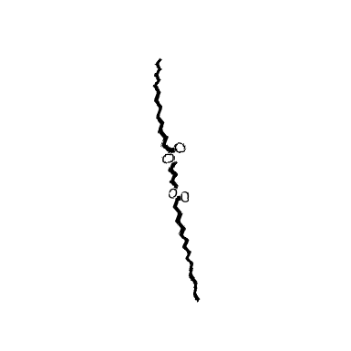 CCCCCCCCCCCCCCC(=O)OCCCCCOC(=O)CCCCCCCCCCCCCC